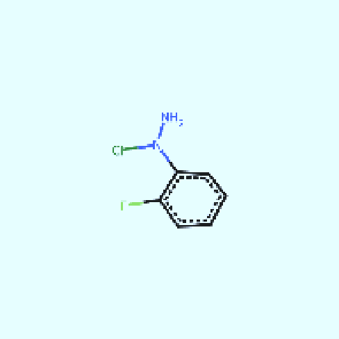 NN(Cl)c1ccccc1F